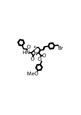 COc1ccc(COC(=O)C2=C(/C=C/c3ccc(CBr)cc3)CSC3C(NC(=O)Cc4ccccc4)C(=O)N23)cc1